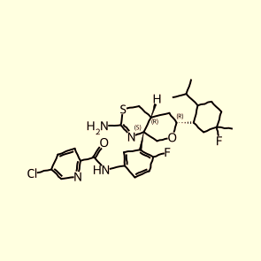 CC(C)C1CCC(C)(F)CC1[C@H]1C[C@H]2CSC(N)=N[C@@]2(c2cc(NC(=O)c3ccc(Cl)cn3)ccc2F)CO1